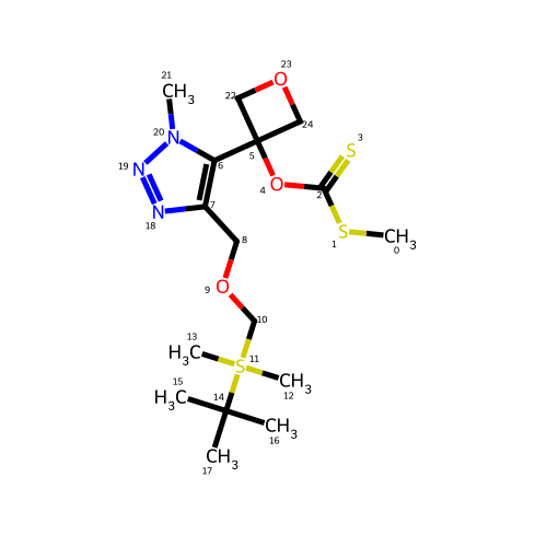 CSC(=S)OC1(c2c(COCS(C)(C)C(C)(C)C)nnn2C)COC1